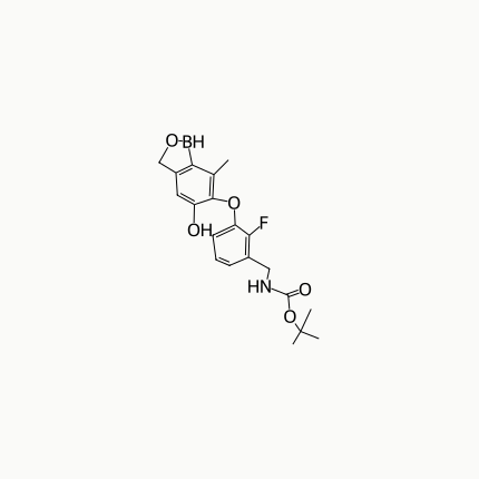 Cc1c2c(cc(O)c1Oc1cccc(CNC(=O)OC(C)(C)C)c1F)COB2